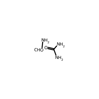 NC(N)=O.NC=O